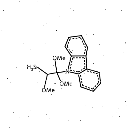 COC([SiH3])C(OC)(OC)n1c2ccccc2c2ccccc21